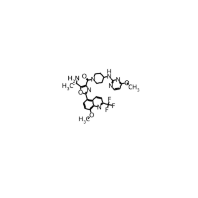 COc1ccnc(NC2CCN(C(=O)c3nc(-c4ccc(OC)c5nc(C(F)(F)F)ccc45)oc3[C@H](C)N)CC2)n1